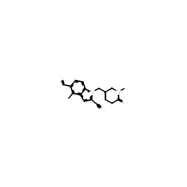 Cc1c(C=N)ccc2c1cc(C#N)n2CC1CCC(=O)N(C)C1